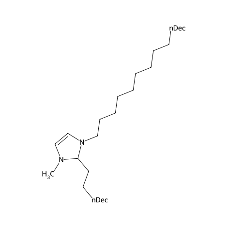 CCCCCCCCCCCCCCCCCCCN1C=CN(C)C1CCCCCCCCCCCC